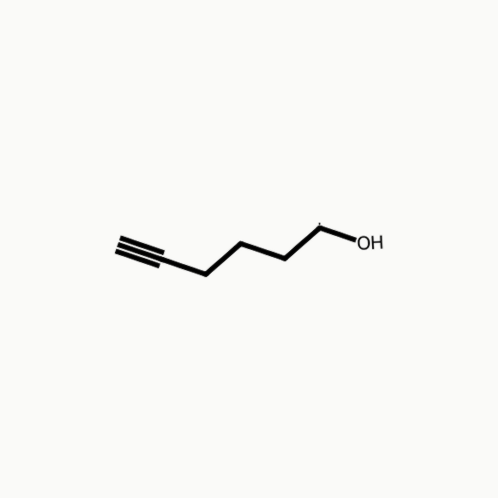 C#CCCC[CH]O